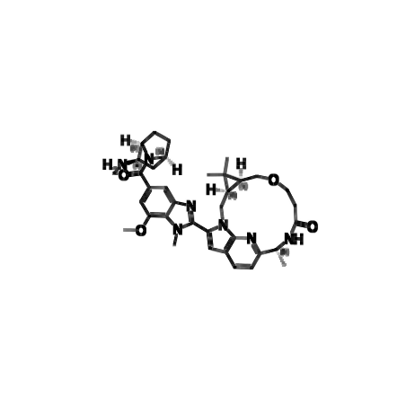 COc1cc(C(=O)N2[C@H]3CC[C@@H]2[C@H](N)C3)cc2nc(-c3cc4ccc5nc4n3C[C@@H]3[C@H](COCCC(=O)N[C@@H]5C)C3(C)C)n(C)c12